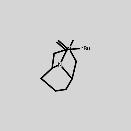 C=C(CCCC)N1C2CCCC1CN(C)C2